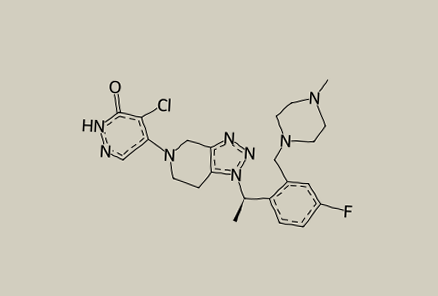 C[C@H](c1ccc(F)cc1CN1CCN(C)CC1)n1nnc2c1CCN(c1cn[nH]c(=O)c1Cl)C2